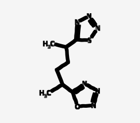 CC(CCC(C)c1nnns1)c1nnno1